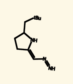 CC(C)(C)CC1CC/C(=C/N=N)N1